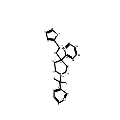 CC(C)(c1cccnc1)N1CCC(CCc2cccs2)(c2ccccn2)CC1